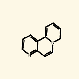 C1=CCN2C=Cc3ncccc3C2=C1